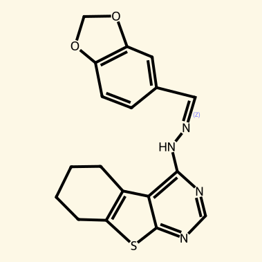 C(=N/Nc1ncnc2sc3c(c12)CCCC3)/c1ccc2c(c1)OCO2